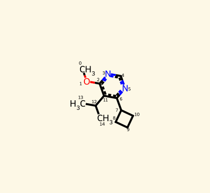 COc1ncnc(C2CCC2)c1C(C)C